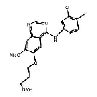 CNCCCOc1cc2c(Nc3ccc(F)c(Cl)c3)ncnc2cc1OC